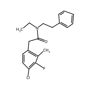 CCN(CCc1ccccc1)C(=O)Cc1ccc(Cl)c(F)c1C